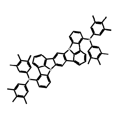 Cc1cc(N(c2cc(C)c(C)c(C)c2)c2cccc3c2c2cccc4c5cc6c(cc5n3c42)c2cccc3c4c(N(c5cc(C)c(C)c(C)c5)c5cc(C)c(C)c(C)c5)cccc4n6c23)cc(C)c1C